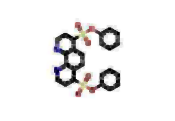 O=S(=O)(Oc1ccccc1)c1ccnc2c1ccc1c(S(=O)(=O)Oc3ccccc3)ccnc12